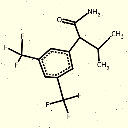 CC(C)C(C(N)=O)c1cc(C(F)(F)F)cc(C(F)(F)F)c1